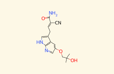 CC(C)(O)COc1cnc2[nH]cc(C/C=C(\C#N)C(N)=O)c2c1